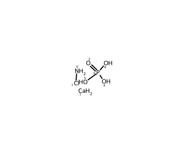 NCl.O=P(O)(O)O.[CaH2]